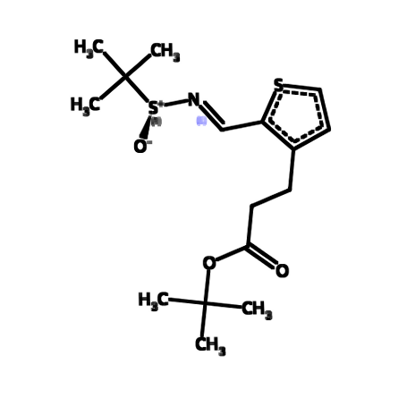 CC(C)(C)OC(=O)CCc1ccsc1/C=N/[S@@+]([O-])C(C)(C)C